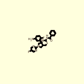 Nc1ccc(F)c(C23CN(c4ncc(F)cn4)CC2CSC(NC(=O)c2ccccc2)N3)c1